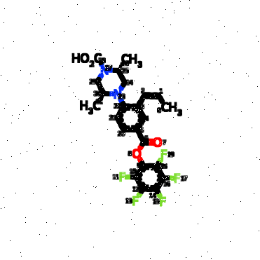 C/C=C\c1cc(C(=O)Oc2c(F)c(F)c(F)c(F)c2F)ccc1N1C[C@@H](C)N(C(=O)O)C[C@@H]1C